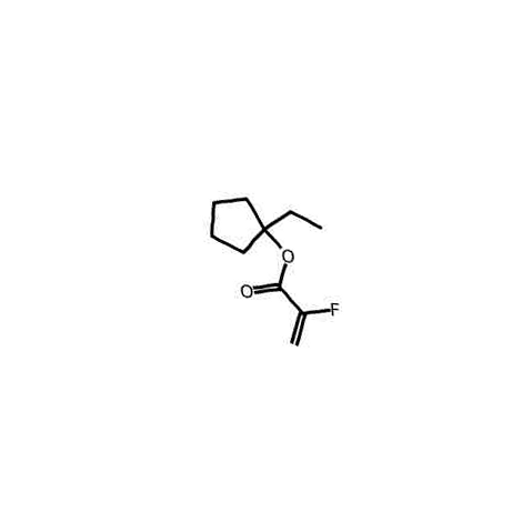 C=C(F)C(=O)OC1(CC)CCCC1